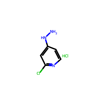 Cl.NNc1ccnc(Cl)c1